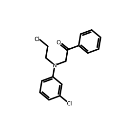 O=C(CN(CCCl)c1cccc(Cl)c1)c1ccccc1